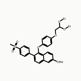 CCOC(COc1ccc(Oc2c(-c3ccc(S(C)(=O)=O)cc3)ccc3cc(OC)ccc23)cc1)OCC